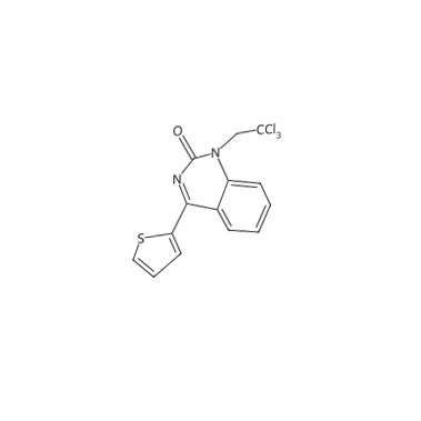 O=c1nc(-c2cccs2)c2ccccc2n1CC(Cl)(Cl)Cl